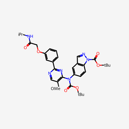 COc1cnc(-c2cccc(OCC(=O)NC(C)C)c2)nc1N(C(=O)OC(C)(C)C)c1ccc2c(cnn2C(=O)OC(C)(C)C)c1